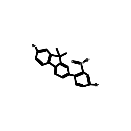 CC1(C)c2cc(Br)ccc2-c2ccc(-c3ccc(Br)cc3[N+](=O)[O-])cc21